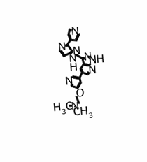 CN(C)CCOc1cncc(-c2cnc3[nH]nc(-c4nc5c(-c6ccncc6)nccc5[nH]4)c3c2)c1